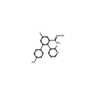 Cc1cc(/C(N)=N/O)c(-c2cccnc2C)c(-c2ccc(O)cc2)c1